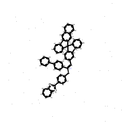 C(=C(\Cc1ccc(-c2nc3ccccc3o2)cc1)c1ccc(-c2ccccc2)cc1)/c1ccc2c(c1)-c1ccccc1C21c2ccccc2-c2cc3ccccc3cc21